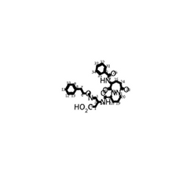 O=C(O)CC(/C=N/OCCc1ccccc1)NC(=O)[C@@H]1CCCN2C(=O)CCC(NC(=O)c3ccccc3)C(=O)N12